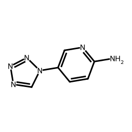 Nc1ccc(-n2cnnn2)cn1